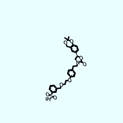 CC(C)S(=O)(=O)c1cccc(COCCOc2ccc(CCN3C[C@@H](c4ccc5c(c4)COC(C)(C)O5)OC3=O)cc2)c1